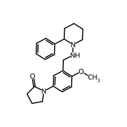 COc1ccc(N2CCCC2=O)cc1CNN1CCCCC1c1ccccc1